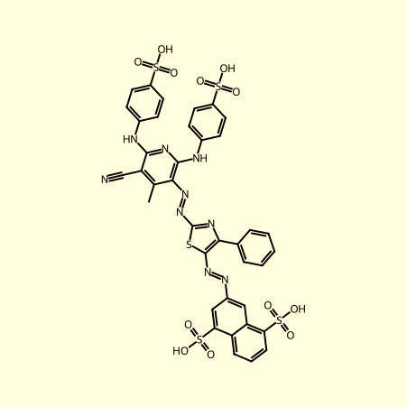 Cc1c(C#N)c(Nc2ccc(S(=O)(=O)O)cc2)nc(Nc2ccc(S(=O)(=O)O)cc2)c1N=Nc1nc(-c2ccccc2)c(/N=N/c2cc(S(=O)(=O)O)c3cccc(S(=O)(=O)O)c3c2)s1